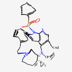 C[C@@H]1CCN(Cc2ccccc2)C[C@@H]1N(C)c1c(C#N)cnc2c1ccn2S(=O)(=O)c1ccccc1